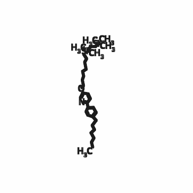 CCCCCCCCc1ccc(-c2ccc(OCCCCCCCC[Si](C)(C)CC[Si](C)(C)C)cn2)cc1